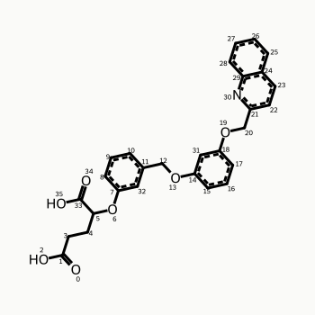 O=C(O)CCC(Oc1cccc(COc2cccc(OCc3ccc4ccccc4n3)c2)c1)C(=O)O